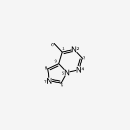 Cc1ncnn2cncc12